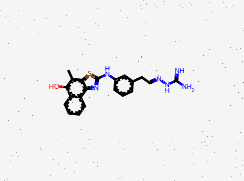 Cc1c(O)c2ccccc2c2nc(Nc3cccc(CC=NNC(=N)N)c3)sc12